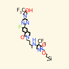 CC(CCCn1ccc2cc(-c3ncc(N4CC(O)(C(F)(F)F)C4)cn3)c(F)cc2c1=O)Nc1cnn(COCC[Si](C)(C)C)c(=O)c1C(F)(F)F